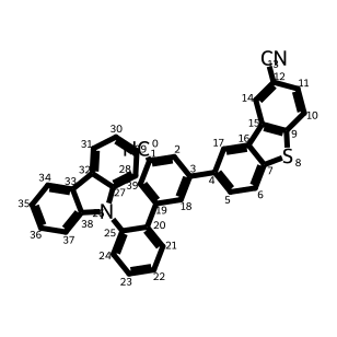 N#Cc1cc(-c2ccc3sc4ccc(C#N)cc4c3c2)cc(-c2ccccc2-n2c3ccccc3c3ccccc32)c1